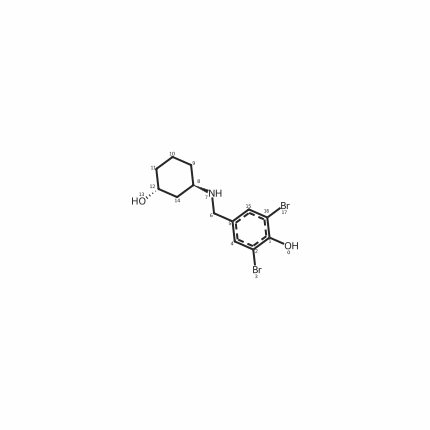 Oc1c(Br)cc(CN[C@@H]2CCC[C@@H](O)C2)cc1Br